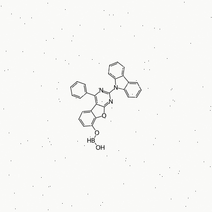 OBOc1cccc2c1oc1nc(-n3c4ccccc4c4ccccc43)nc(-c3ccccc3)c12